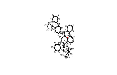 c1ccc(-c2ccccc2N(c2ccc3c(c2)-c2ccccc2C32CCCC2)c2ccc3c(c2)-c2ccccc2C32C3CCC4CC2C[C@@H](C4)C3)cc1